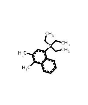 CC[Si](CC)(CC)c1cc(C)c(C)c2ccccc12